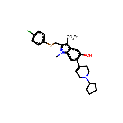 CCOC(=O)c1c(CSc2ccc(F)cc2)n(C)c2cc(C3=CCN(C4CCCC4)CC3)c(O)cc12